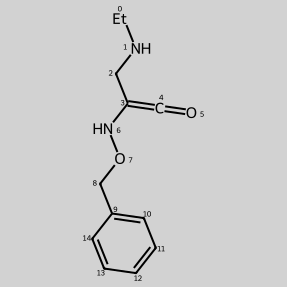 CCNCC(=C=O)NOCc1ccccc1